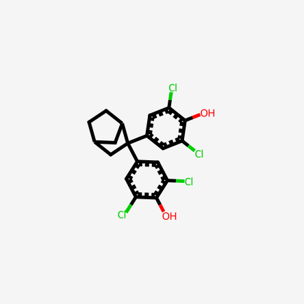 Oc1c(Cl)cc(C2(c3cc(Cl)c(O)c(Cl)c3)CC3CCC2C3)cc1Cl